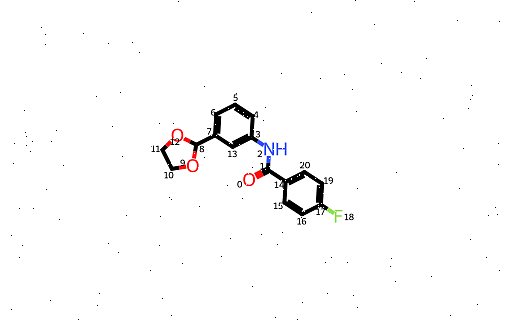 O=C(Nc1cccc(C2OCCO2)c1)c1ccc(F)cc1